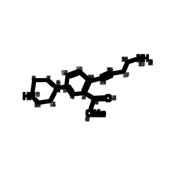 COC(=O)c1cc(N2CCNCC2)ccc1C#CCCN